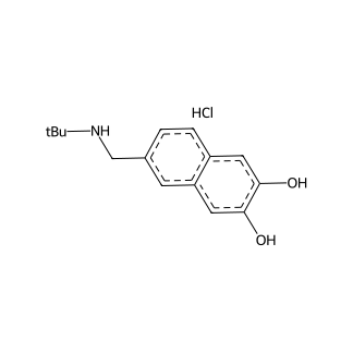 CC(C)(C)NCc1ccc2cc(O)c(O)cc2c1.Cl